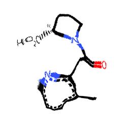 Cc1cccnc1C(=O)N1CC[C@H]1C(=O)O